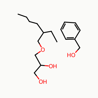 CCCCC(CC)COCC(O)CO.OCc1ccccc1